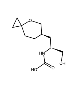 O=C(O)N[C@H](CO)C[C@H]1CCC2(CC2)OC1